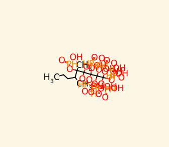 CCCC(C)C(C)(O[PH](=O)O)C(O[PH](=O)O)(O[PH](=O)O)C(O[PH](=O)O)(O[PH](=O)O)C(O[PH](=O)O)(O[PH](=O)O)C(O[PH](=O)O)(O[PH](=O)O)O[PH](=O)O